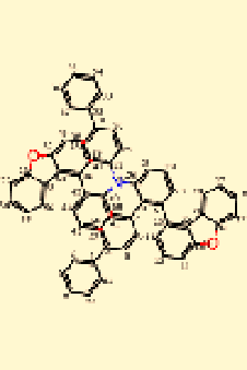 c1ccc(-c2ccc(-c3c(-c4cccc5oc6ccccc6c45)cccc3N(c3ccc(-c4ccccc4)cc3)c3ccccc3-c3cccc4oc5ccccc5c34)cc2)cc1